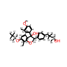 COc1ccc(C2(O)c3ccc(O[Si](C)(C)C(C)(C)C)c(C)c3OCC2c2ccc(CC(C)(C)[Si](C)(C)O)cc2)cc1C